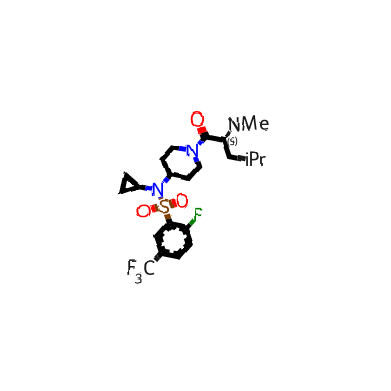 CN[C@@H](CC(C)C)C(=O)N1CCC(N(C2CC2)S(=O)(=O)c2cc(C(F)(F)F)ccc2F)CC1